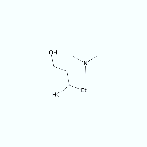 CCC(O)CCO.CN(C)C